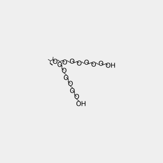 C=CC(C)C(C)OCC(COCCOCCOCCOCCOCCOCCO)OCCOCCOCCOCCOCCOCCO